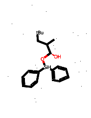 CC(CC(C)(C)C)[C@H](O)O[SiH](c1ccccc1)c1ccccc1